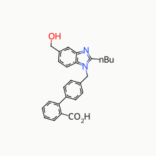 CCCCc1nc2cc(CO)ccc2n1Cc1ccc(-c2ccccc2C(=O)O)cc1